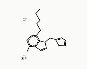 CCCCCc1ccc(C)c2c1C(CC1=CC=CC1)C=C2.[Cl-].[Cl-].[Zr+2]